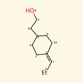 CCC=C1CCC(CCO)CC1